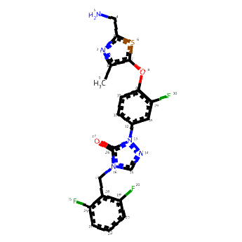 Cc1nc(CN)sc1Oc1ccc(-n2ncn(Cc3c(F)cccc3F)c2=O)cc1F